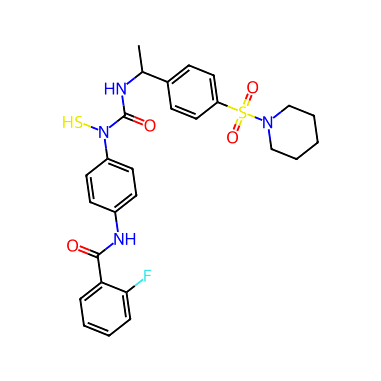 CC(NC(=O)N(S)c1ccc(NC(=O)c2ccccc2F)cc1)c1ccc(S(=O)(=O)N2CCCCC2)cc1